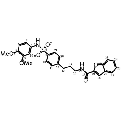 COc1ccc(NS(=O)(=O)c2ccc(CCCNC(=O)c3cc4ccccc4o3)cc2)cc1OC